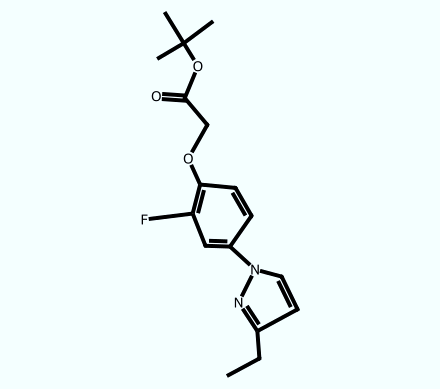 CCc1ccn(-c2ccc(OCC(=O)OC(C)(C)C)c(F)c2)n1